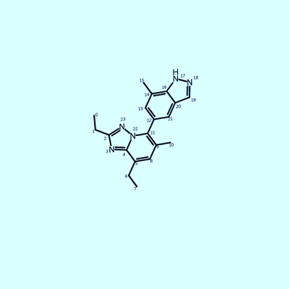 CCc1nc2c(CC)cc(C)c(-c3cc(C)c4[nH]ncc4c3)n2n1